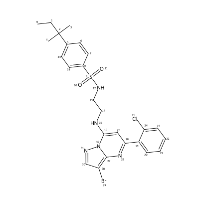 CCC(C)(C)c1ccc(S(=O)(=O)NCCNc2cc(-c3ccccc3Cl)nc3c(Br)cnn23)cc1